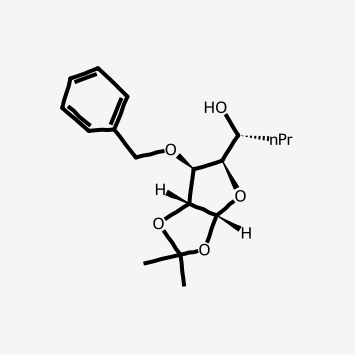 CCC[C@@H](O)[C@H]1O[C@@H]2OC(C)(C)O[C@@H]2[C@H]1OCc1ccccc1